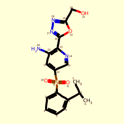 CC(C)c1ccccc1S(=O)(=O)c1cnc(-c2nnc(CO)o2)c(N)c1